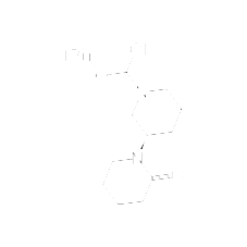 CC(C)(C)OC(O)N1CCC[C@@H](N2CCCCC2=O)C1